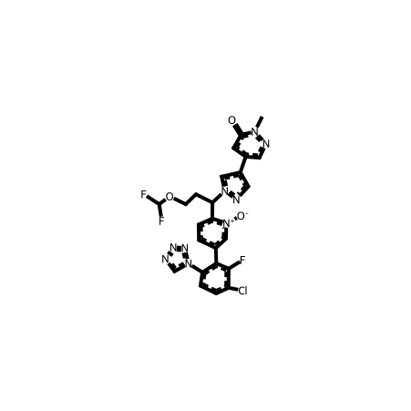 Cn1ncc(-c2cnn(C(CCOC(F)F)c3ccc(-c4c(-n5cnnn5)ccc(Cl)c4F)c[n+]3[O-])c2)cc1=O